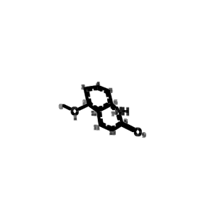 COc1cccc2[nH]c(=O)ccc12